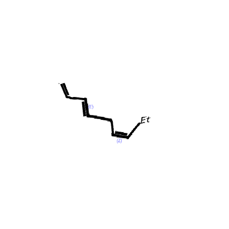 [CH]=C/C=C/C/C=C\CC